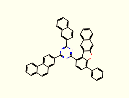 c1ccc(-c2ccc(-c3nc(-c4ccc5ccccc5c4)nc(-c4ccc5c(ccc6ccccc65)c4)n3)c3c2oc2cc4ccccc4cc23)cc1